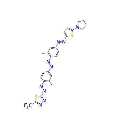 Cc1cc(/N=N/c2ccc(N3CCCC3)s2)ccc1/N=N/c1ccc(/N=N/c2nnc(C(F)(F)F)s2)c(C)c1